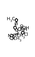 Cc1cccc(OCc2ccc3c(c2)C2(CCC(Nc4cccc(Cl)c4)(C(=O)O)CC2)C(C[C@@H](C)COc2ccnc4c2[C@H](C)CCC4)C3)c1